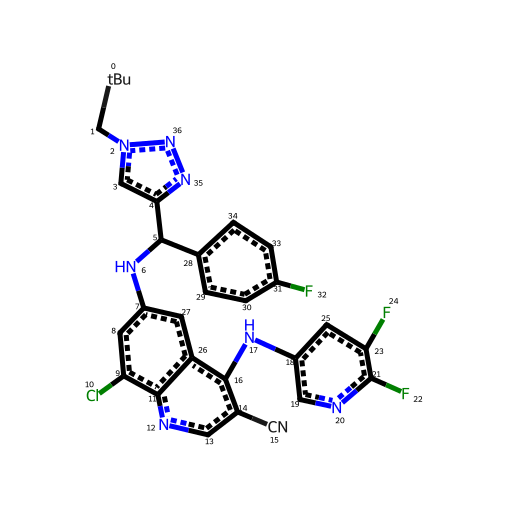 CC(C)(C)Cn1cc(C(Nc2cc(Cl)c3ncc(C#N)c(Nc4cnc(F)c(F)c4)c3c2)c2ccc(F)cc2)nn1